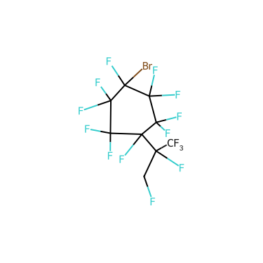 FCC(F)(C(F)(F)F)C1(F)C(F)(F)C(F)(F)C(F)(Br)C(F)(F)C1(F)F